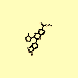 COC(=O)c1ccc2nc(-c3ccc4[nH]nnc4c3)c(N3CCCC3C)nc2c1